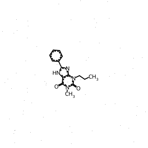 CCCn1c(=O)n(C)c(=O)c2[nH]c(-c3ccccc3)nc21